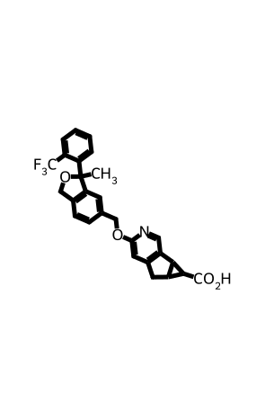 CC1(c2ccccc2C(F)(F)F)OCc2ccc(COc3cc4c(cn3)C3C(C4)C3C(=O)O)cc21